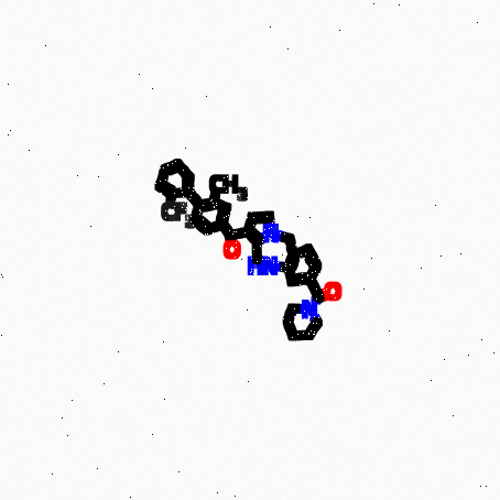 Cc1cc(C(=O)c2ccn3c2CNc2cc(C(=O)N4CCCCC4)ccc2C3)ccc1-c1ccccc1C(F)(F)F